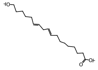 O=C(O)CCCCCCCC=CCC=CCCCCCO